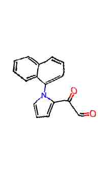 O=CC(=O)c1cccn1-c1cccc2ccccc12